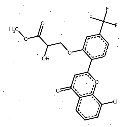 COC(=O)C(O)COc1cc(C(F)(F)F)ccc1-c1cc(=O)c2cccc(Cl)c2o1